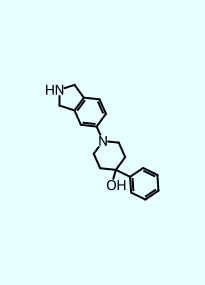 OC1(c2ccccc2)CCN(c2ccc3c(c2)CNC3)CC1